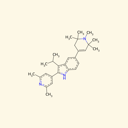 Cc1cc(-c2[nH]c3ccc(C4=CC(C)(C)N(C)C(C)(C)C4)cc3c2C(C)C)cc(C)n1